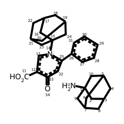 NC12CC3CC(CC(C3)C1)C2.O=C(O)c1cn(C23CC4CC(CC(C4)C2)C3)c(-c2ccccc2)cc1=O